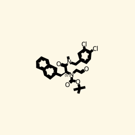 CN(Cc1ccc(Cl)c(Cl)c1)C(=O)[C@H](Cc1ccc2ccccc2c1)N(CC=O)C(=O)OC(C)(C)C